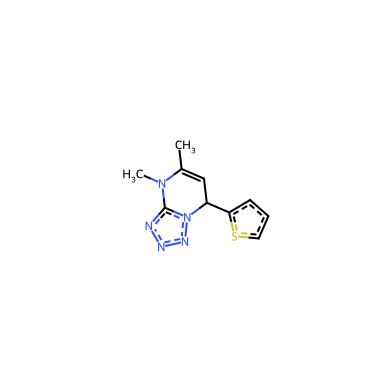 CC1=CC(c2cccs2)n2nnnc2N1C